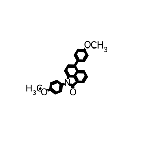 COc1ccc(-c2ccc3c4c(cccc24)C(=O)N3c2ccc(OC)cc2)cc1